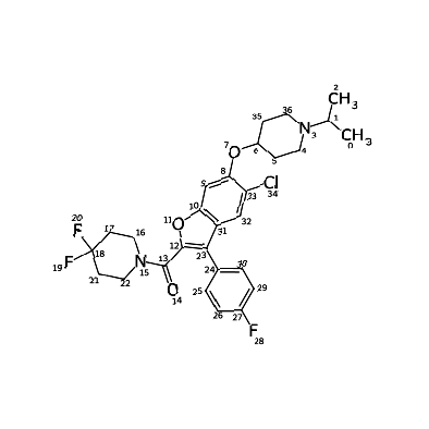 CC(C)N1CCC(Oc2cc3oc(C(=O)N4CCC(F)(F)CC4)c(-c4ccc(F)cc4)c3cc2Cl)CC1